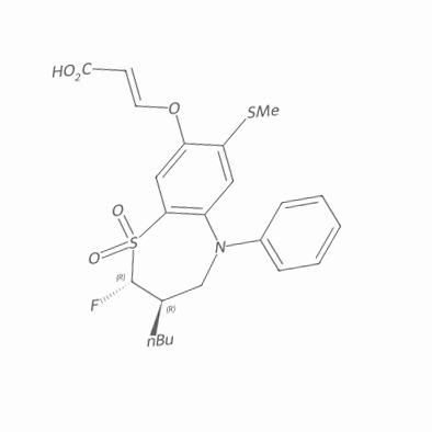 CCCC[C@@H]1CN(c2ccccc2)c2cc(SC)c(OC=CC(=O)O)cc2S(=O)(=O)[C@H]1F